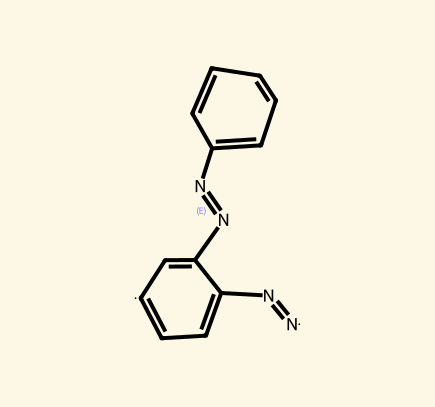 [N]=Nc1cc[c]cc1/N=N/c1ccccc1